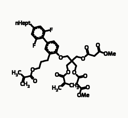 C=C(C)C(=O)OCCCc1cc(-c2c(F)cc(CCCCCCC)cc2F)ccc1OCC(COC(=O)CC(=O)OC)(COC(=O)CC(=O)OC)COC(=O)C(=C)C